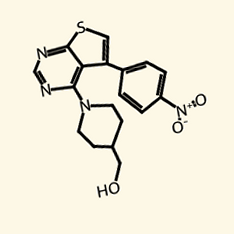 O=[N+]([O-])c1ccc(-c2csc3ncnc(N4CCC(CO)CC4)c23)cc1